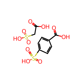 O=C(O)CS(=O)(=O)O.O=C(O)c1ccc(S(=O)(=O)O)cc1